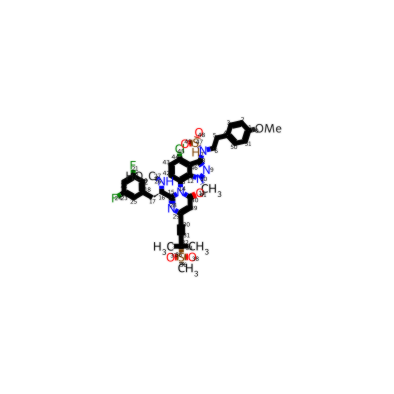 COc1ccc(CCN(c2nn(C)c3c(-n4c([C@H](Cc5cc(F)cc(F)c5)NC(=O)O)nc(C#CC(C)(C)S(C)(=O)=O)cc4=O)ccc(Cl)c23)[SH](=O)=O)cc1